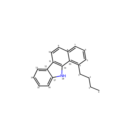 CCCCc1cccc2ccc3c4ccccc4[nH]c3c12